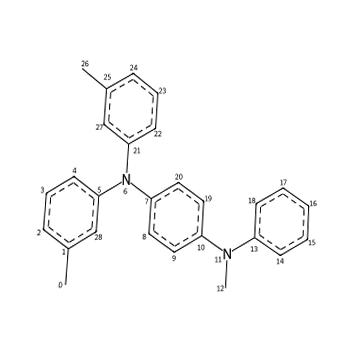 Cc1cccc(N(c2ccc(N(C)c3ccccc3)cc2)c2cccc(C)c2)c1